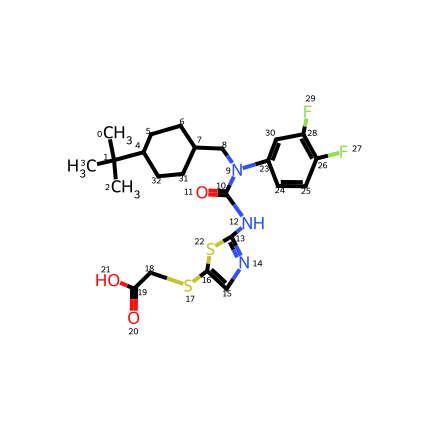 CC(C)(C)C1CCC(CN(C(=O)Nc2ncc(SCC(=O)O)s2)c2ccc(F)c(F)c2)CC1